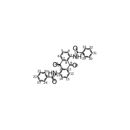 O=C(Nc1cccc2c1C(=O)c1cccc(NC(=O)c3ccccc3)c1C2=O)c1ccccc1